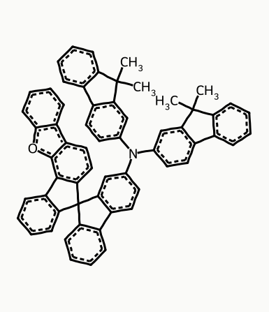 CC1(C)c2ccccc2-c2ccc(N(c3ccc4c(c3)C(C)(C)c3ccccc3-4)c3ccc4c(c3)C3(c5ccccc5-4)c4ccccc4-c4c3ccc3c4oc4ccccc43)cc21